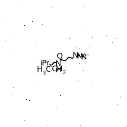 CC(C)C(C)(C)CNC(=O)CCCN=[N+]=[N-]